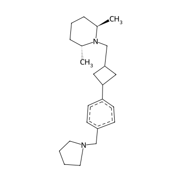 C[C@@H]1CCC[C@@H](C)N1CC1CC(c2ccc(CN3CCCC3)cc2)C1